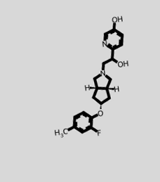 Cc1ccc(O[C@@H]2C[C@@H]3CN(CC(O)c4ccc(O)cn4)C[C@@H]3C2)c(F)c1